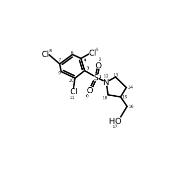 O=S(=O)(c1c(Cl)cc(Cl)cc1Cl)N1CCC(CO)C1